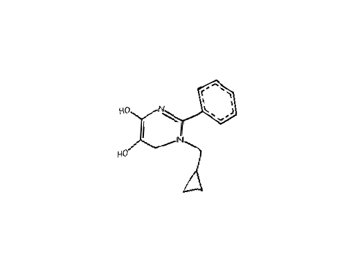 OC1=C(O)N=C(c2ccccc2)N(CC2CC2)C1